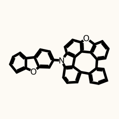 c1ccc2c(c1)oc1cc(-n3c4cccc5c6ccccc6c6cccc7oc8ccc3c(c8c76)c54)ccc12